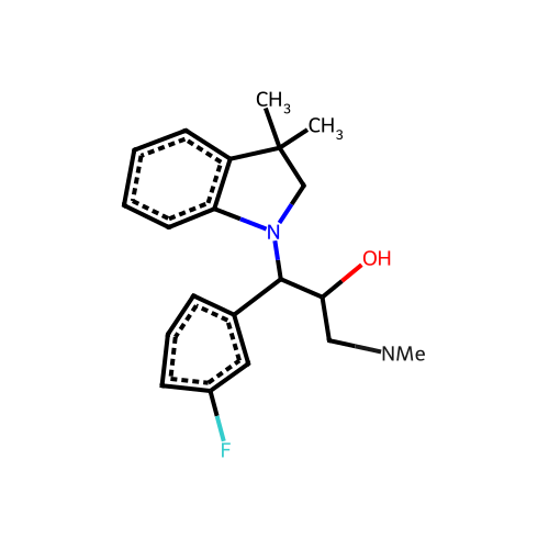 CNCC(O)C(c1cccc(F)c1)N1CC(C)(C)c2ccccc21